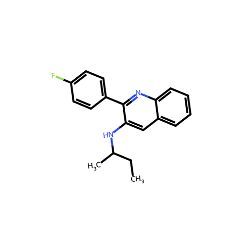 CCC(C)Nc1cc2ccccc2nc1-c1ccc(F)cc1